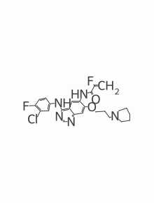 C=C(F)C(=O)Nc1cc2c(Nc3ccc(F)c(Cl)c3)ncnc2cc1OCCCN1CCCCC1